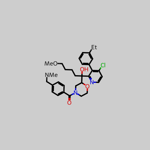 CCc1cccc(-c2c(Cl)ccnc2C(O)(CCCCOC)C2CN(C(=O)c3ccc(CNC)cc3)CCO2)c1